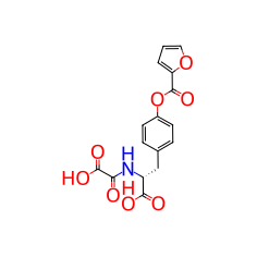 O=C(O)C(=O)N[C@H](Cc1ccc(OC(=O)c2ccco2)cc1)C(=O)O